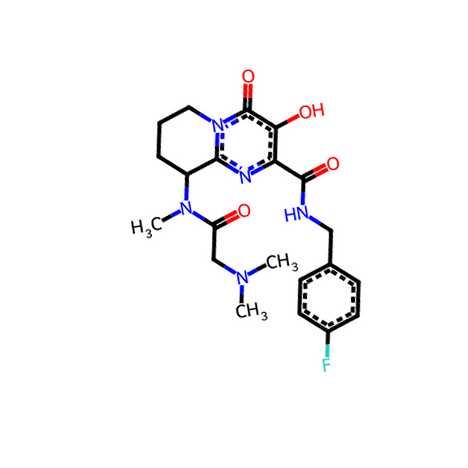 CN(C)CC(=O)N(C)C1CCCn2c1nc(C(=O)NCc1ccc(F)cc1)c(O)c2=O